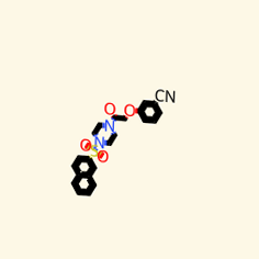 N#Cc1cccc(OCC(=O)N2CCN(S(=O)(=O)c3ccc4ccccc4c3)CC2)c1